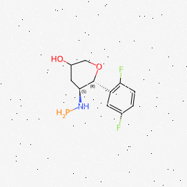 OC1CO[C@H](c2cc(F)ccc2F)[C@@H](NP)C1